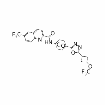 O=C(NC12CCC(c3nnc(C4CC(OC(F)(F)F)C4)o3)(CC1)OC2)c1ccc2cc(C(F)(F)F)ccc2n1